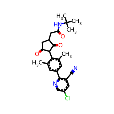 Cc1cc(-c2ncc(Cl)cc2C#N)cc(C)c1C1C(=O)CC(CC(=O)NC(C)(C)C)C1=O